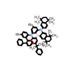 CC(C)(C)c1ccc(N2c3ccc(C(C)(C)c4ccccc4)cc3B3c4cc5c(cc4N(c4ccc6c(c4)C(C)(C)CCC6(C)C)c4cc(C(C)(C)C)cc2c43)C(C)(C)CCC5(C)C)c(-c2ccccc2-c2ccccc2)c1